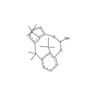 CC(C)(C)c1c2cccc1C(C)(C)c1cccc(c1C(C)(C)C)OP(O)O2